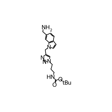 CC(C)(C)OC(=O)NCCCn1cc(Cn2ccc3ccc(CN)cc32)nn1